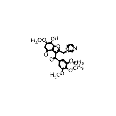 COC1=C(O)c2oc(Cn3ccnc3)c(C(=O)c3cc(OC)c(OC)c(OC)c3)c2C(=O)C1